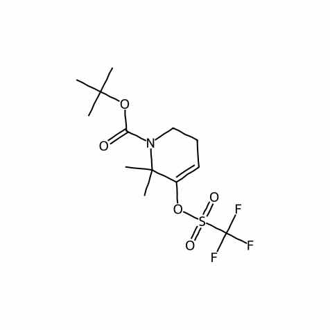 CC(C)(C)OC(=O)N1CCC=C(OS(=O)(=O)C(F)(F)F)C1(C)C